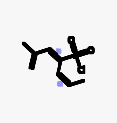 C=C(C)/C=C(\C=C/C)S(=O)(=O)Cl